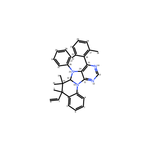 C=CC1(C)c2ccccc2N2c3ncnc(-c4c(C)cccc4C)c3N(c3ccccc3)C2C1(C)C